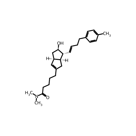 Cc1ccc(CC/C=C/[C@@H]2[C@H]3CC(CCCCC(=O)N(C)C)=C[C@H]3C[C@H]2O)cc1